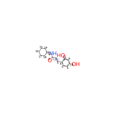 O=C(/C=C/c1ccc(O)cc1O)NC1CCCCC1